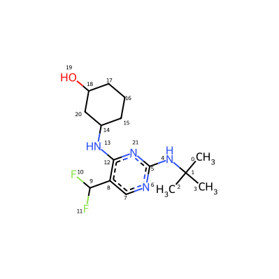 CC(C)(C)Nc1ncc(C(F)F)c(NC2CCCC(O)C2)n1